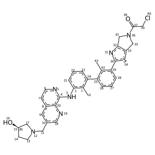 Cc1c(Nc2nccc3cc(CN4CC[C@@H](O)C4)cnc23)cccc1-c1cccc(-c2nc3c(s2)CN(C(=O)CCl)C3)c1C